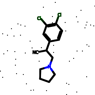 N#CC(CN1CCCC1)c1ccc(Cl)c(Cl)c1